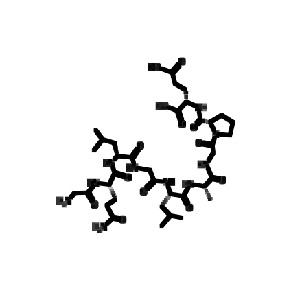 CC(C)C[C@H](NC(=O)CNC(=O)[C@H](CC(C)C)NC(=O)[C@H](CCC(N)=O)NC(=O)CN)C(=O)N[C@@H](C)C(=O)NCC(=O)N1CCC[C@H]1C(=O)N[C@@H](CCC(=O)O)C(=O)O